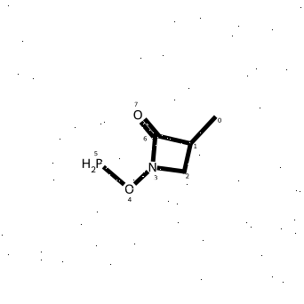 CC1CN(OP)C1=O